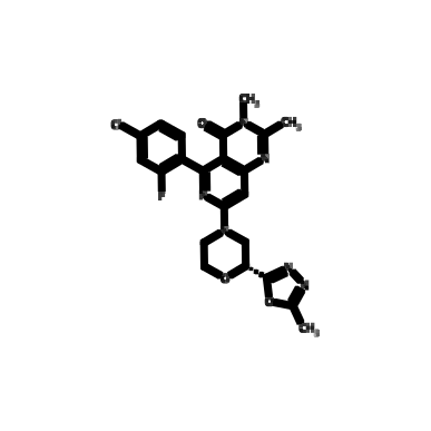 Cc1nnc([C@H]2CN(c3cc4nc(C)n(C)c(=O)c4c(-c4ccc(Cl)cc4F)n3)CCO2)o1